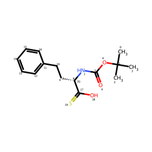 CC(C)(C)OC(=O)N[C@@H](CCc1ccccc1)C(O)=S